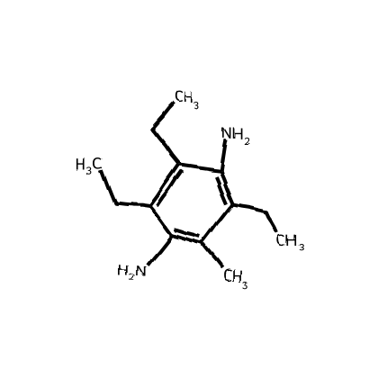 CCc1c(C)c(N)c(CC)c(CC)c1N